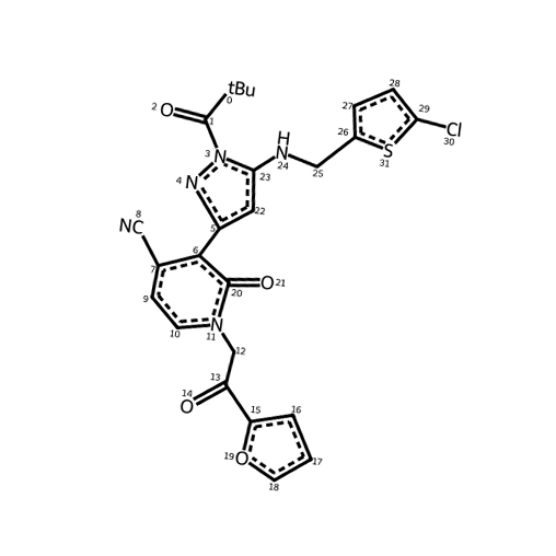 CC(C)(C)C(=O)n1nc(-c2c(C#N)ccn(CC(=O)c3ccco3)c2=O)cc1NCc1ccc(Cl)s1